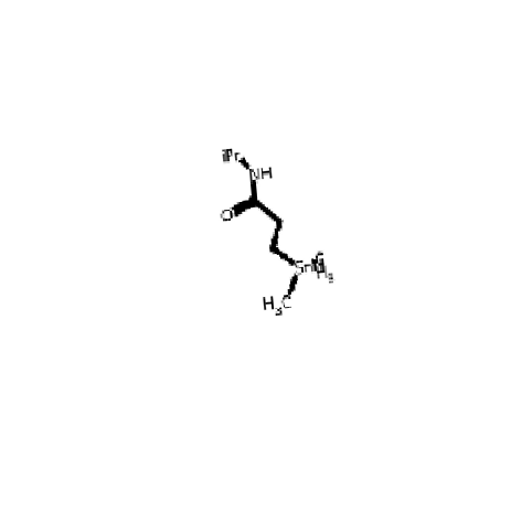 CC(C)NC(=O)C[CH2][SnH]([CH3])[CH3]